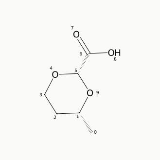 C[C@@H]1CCO[C@H](C(=O)O)O1